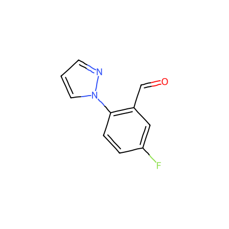 O=Cc1cc(F)ccc1-n1cccn1